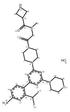 CN(CC(=O)N1CCN(c2nc(-c3cnc(N)nc3C(F)F)nc(N3CCOCC3)n2)CC1)C(=O)C1CNC1.Cl